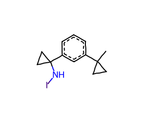 CC1(c2cccc(C3(NI)CC3)c2)CC1